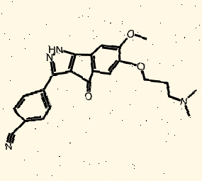 COc1cc2c(cc1OCCCN(C)C)C(=O)c1c(-c3ccc(C#N)cc3)n[nH]c1-2